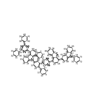 c1ccc(-c2nc(-c3ccccc3-c3ccc(-n4c5ccccc5c5c(-c6nc(-c7ccccc7)nc(-c7ccccc7)n6)cccc54)cc3)nc(-c3ccc(-c4ccc5c(c4)c4ccccc4n5-c4ccccc4)c4sc5ccccc5c34)n2)cc1